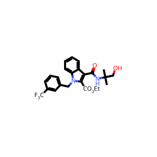 CCOC(=O)c1c(C(=O)NC(C)(C)CO)c2ccccc2n1Cc1cccc(C(F)(F)F)c1